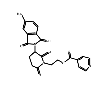 N=C1c2ccc(N)cc2C(=O)N1C1CCC(=O)N(CCOC(=O)c2ccncc2)C1=O